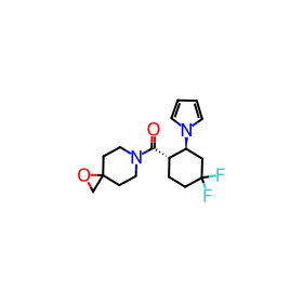 O=C([C@H]1CCC(F)(F)C[C@@H]1n1cccc1)N1CCC2(CC1)CO2